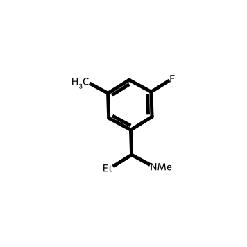 CCC(NC)c1cc(C)cc(F)c1